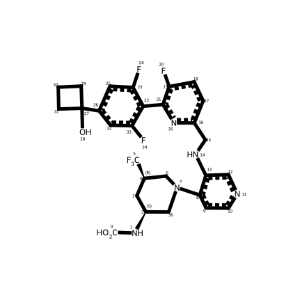 O=C(O)N[C@H]1C[C@@H](C(F)(F)F)CN(c2ccncc2NCc2ccc(F)c(-c3c(F)cc(C4(O)CCC4)cc3F)n2)C1